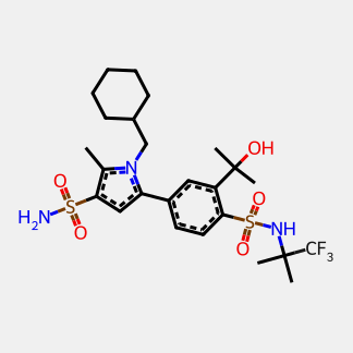 Cc1c(S(N)(=O)=O)cc(-c2ccc(S(=O)(=O)NC(C)(C)C(F)(F)F)c(C(C)(C)O)c2)n1CC1CCCCC1